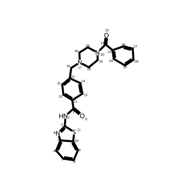 O=C(Nc1nc2ccccc2s1)c1ccc(CN2CCN(C(=O)c3ccccc3)CC2)cc1